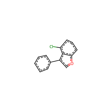 Clc1cccc2o[c]c(-c3ccccc3)c12